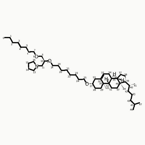 CCCCCCCCOC[C@H](CN1CCCC1)OCCCCCCCCO[C@H]1CC[C@@]2(C)C(=CC[C@H]3[C@@H]4CC[C@H]([C@H](C)CCCC(C)C)[C@@]4(C)CC[C@@H]32)C1